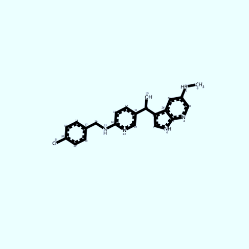 CBc1cnc2[nH]cc(C(O)c3ccc(NCc4ccc(Cl)cc4)nc3)c2c1